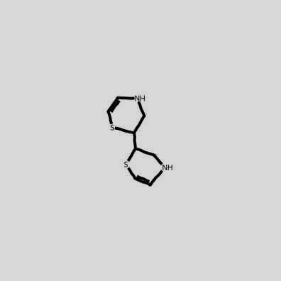 [C]1NC=CSC1C1CNC=CS1